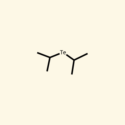 CC(C)[Te]C(C)C